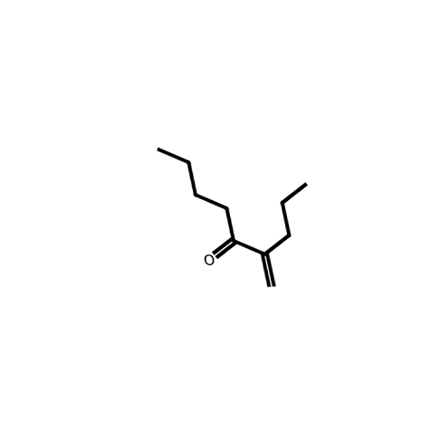 C=C(CCC)C(=O)CCCC